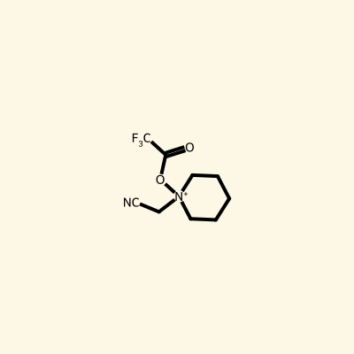 N#CC[N+]1(OC(=O)C(F)(F)F)CCCCC1